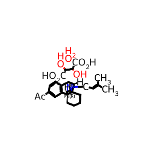 CC(=O)c1ccc2c(c1)[C@@]13CCCC[C@H]1[C@@H](C2)N(CC=C(C)C)CC3.O.O=C(O)C(O)C(O)C(=O)O